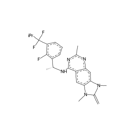 C=C1N(C)c2cc3nc(C)nc(N[C@H](C)c4cccc(C(F)(F)C(C)C)c4F)c3cc2N1C